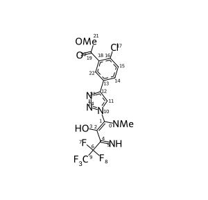 CN/C(=C(/O)C(=N)C(F)(F)C(F)(F)F)n1cc(-c2ccc(Cl)c(C(=O)OC)c2)nn1